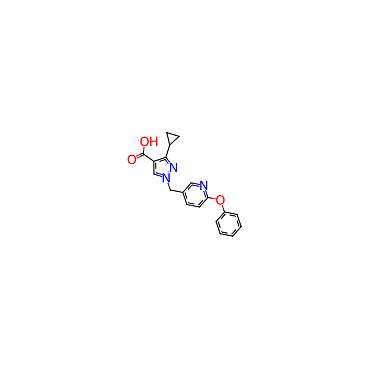 O=C(O)c1cn(Cc2ccc(Oc3ccccc3)nc2)nc1C1CC1